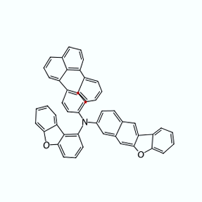 c1ccc(-c2cccc3cccc(-c4ccc(N(c5ccc6cc7c(cc6c5)oc5ccccc57)c5cccc6oc7ccccc7c56)cc4)c23)cc1